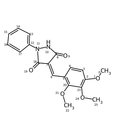 COc1ccc(/C=C2\C(=O)NN(c3ccccc3)C2=O)c(OC)c1OC